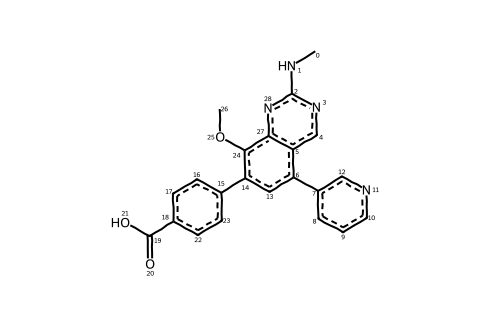 CNc1ncc2c(-c3cccnc3)cc(-c3ccc(C(=O)O)cc3)c(OC)c2n1